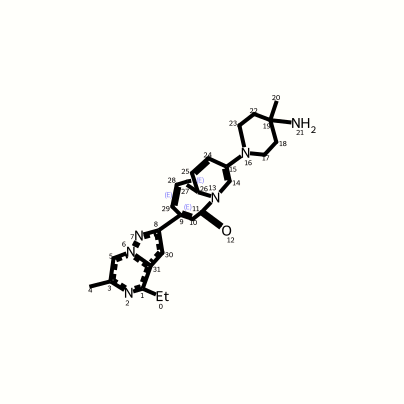 CCc1nc(C)cn2nc(C3=C\C(=O)N4C=C(N5CCC(C)(N)CC5)C=C\C4=C/C=C/3)cc12